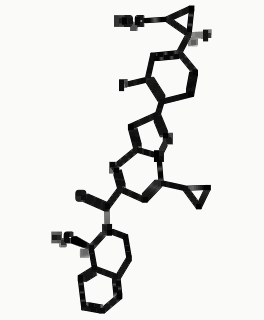 C[C@@H]1c2ccccc2CCN1C(=O)c1cc(C2CC2)n2nc(-c3ccc([C@]4(F)CC4C(=O)O)cc3F)cc2n1